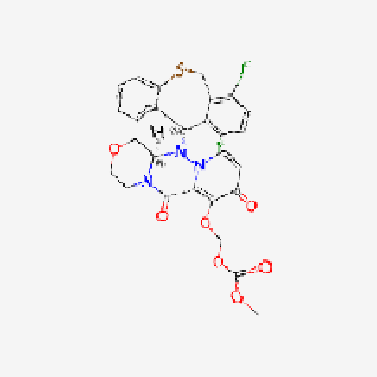 COC(=O)OCOc1c2n(ccc1=O)N([C@@H]1c3ccccc3SCc3c(F)ccc(F)c31)[C@@H]1COCCN1C2=O